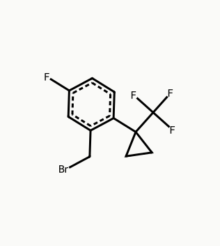 Fc1ccc(C2(C(F)(F)F)CC2)c(CBr)c1